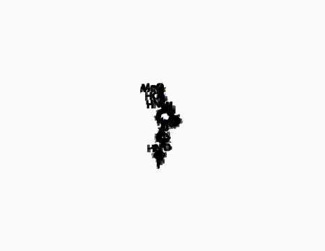 COC/C(O)=C/C(=N)C1=NN=C2CC1CC/N=C(/OCc1ccc(C(=O)NC3CC(F)C3)cn1)c1ccccc12